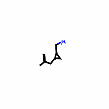 C=C(C)CC1CC1CN